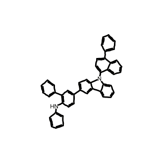 c1ccc(Nc2ccc(-c3ccc4c(c3)c3ccccc3n4-c3ccc(-c4ccccc4)c4ccccc34)cc2-c2ccccc2)cc1